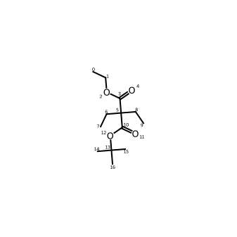 CCOC(=O)C(CC)(CC)C(=O)OC(C)(C)C